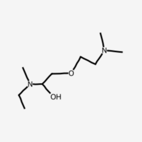 CCN(C)C(O)COCCN(C)C